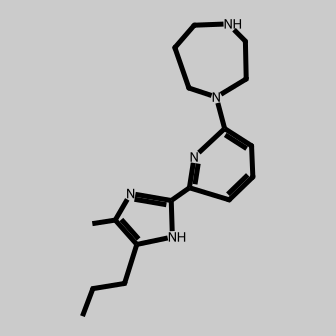 CCCc1[nH]c(-c2cccc(N3CCCNCC3)n2)nc1C